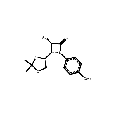 COc1ccc(N2C(=O)[C@H](C(C)=O)[C@H]2[C@H]2COC(C)(C)O2)cc1